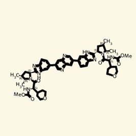 COC(=O)N[C@H](C(=O)N1[C@H](C)[C@H](C)C[C@H]1c1nc2ccc(-c3cnc4cc(-c5ccc6nc([C@@H]7C[C@@H](C)[C@@H](C)N7C(=O)[C@@H](NC(=O)OC)C7CCOCC7)[nH]c6c5)cnc4c3)cc2[nH]1)C1CCOCC1